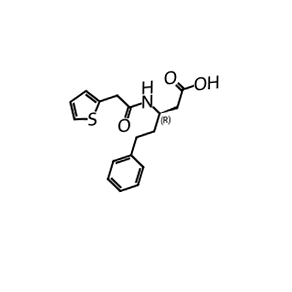 O=C(O)C[C@@H](CCc1ccccc1)NC(=O)Cc1cccs1